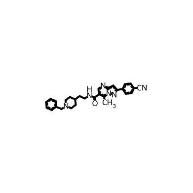 Cc1c(C(=O)NCCC2CCN(Cc3ccccc3)CC2)cnc2cc(-c3ccc(C#N)cc3)nn12